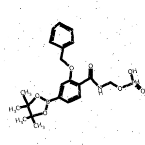 CC1(C)OB(c2ccc(C(=O)NCO[PH](=O)O)c(OCc3ccccc3)c2)OC1(C)C